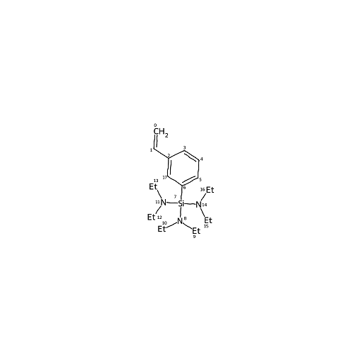 C=Cc1cccc([Si](N(CC)CC)(N(CC)CC)N(CC)CC)c1